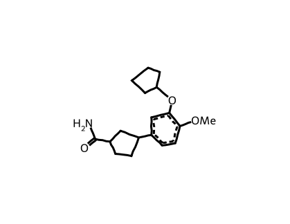 COc1ccc(C2CCC(C(N)=O)C2)cc1OC1CCCC1